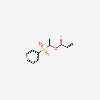 C=CC(=O)OC(C)S(=O)(=O)c1ccccc1